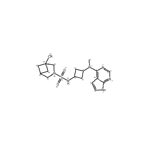 CN(c1ncnc2[nH]ccc12)C1CC(NS(=O)(=O)N2CC3CC(C#N)(C3)C2)C1